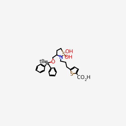 CC(C)(C)[Si](OCC1CCS(O)(O)N1CCCc1ccc(C(=O)O)s1)(c1ccccc1)c1ccccc1